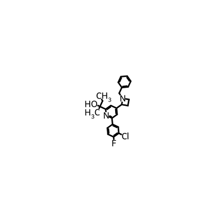 CCC(C)(O)c1cc(C2CCN2Cc2ccccc2)cc(-c2ccc(F)c(Cl)c2)n1